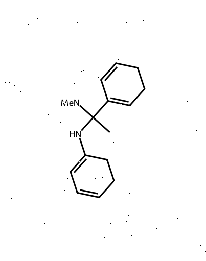 CNC(C)(NC1=CC=CCC1)C1=CCCC=C1